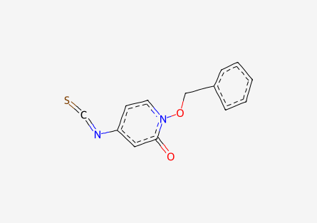 O=c1cc(N=C=S)ccn1OCc1ccccc1